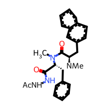 CN[C@H](Cc1ccc2ccccc2c1)C(=O)N(C)[C@H](Cc1ccccc1)C(=O)NNC(C)=O